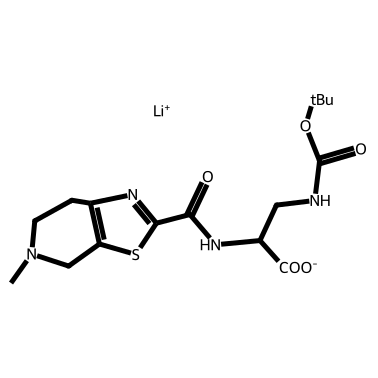 CN1CCc2nc(C(=O)NC(CNC(=O)OC(C)(C)C)C(=O)[O-])sc2C1.[Li+]